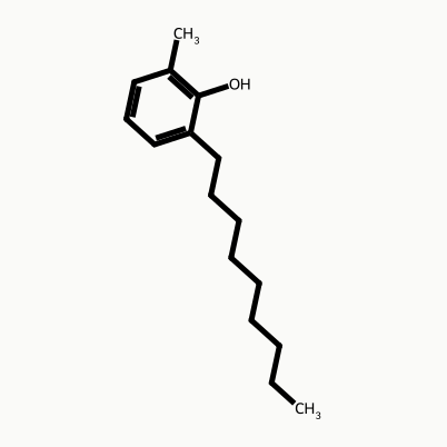 CCCCCCCCCc1cccc(C)c1O